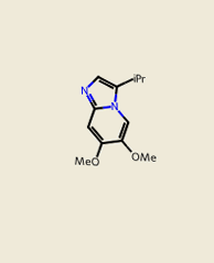 COc1cc2ncc(C(C)C)n2cc1OC